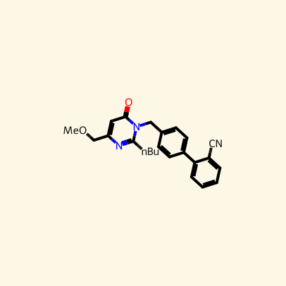 CCCCc1nc(COC)cc(=O)n1Cc1ccc(-c2ccccc2C#N)cc1